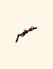 CCCCCCCCC(C)CCCOc1ccc(-c2ccc(CCc3ccc(OCCCCC)cc3)cn2)cc1